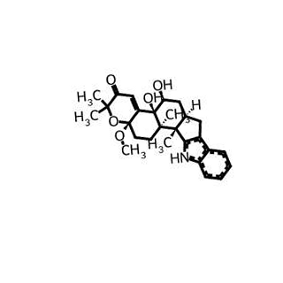 CO[C@]12CC[C@]3(C)[C@@]4(C)c5[nH]c6ccccc6c5C[C@@H]4C[C@H](O)[C@@]3(O)C1=CC(=O)C(C)(C)O2